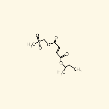 CCC(C)OC(=O)/C=C/C(=O)OCS(C)(=O)=O